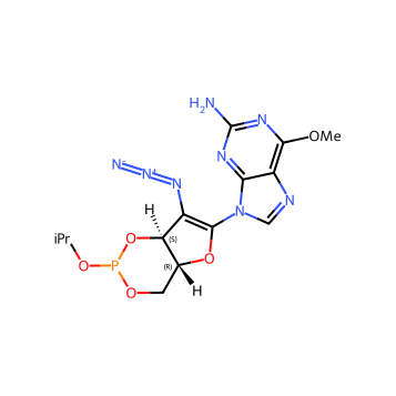 COc1nc(N)nc2c1ncn2C1=C(N=[N+]=[N-])[C@@H]2OP(OC(C)C)OC[C@H]2O1